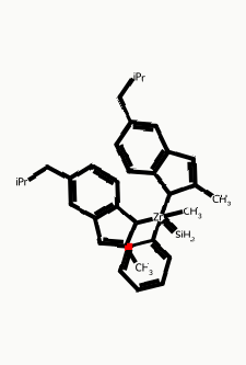 CC1=Cc2cc(CC(C)C)ccc2[CH]1[Zr]([CH3])(=[SiH2])([c]1ccccc1)[CH]1C(C)=Cc2cc(CC(C)C)ccc21